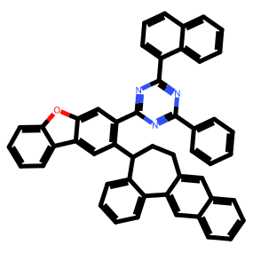 c1ccc(-c2nc(-c3cc4oc5ccccc5c4cc3C3CCc4cc5ccccc5cc4-c4ccccc43)nc(-c3cccc4ccccc34)n2)cc1